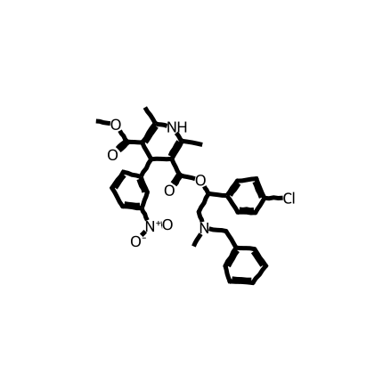 COC(=O)C1=C(C)NC(C)=C(C(=O)OC(CN(C)Cc2ccccc2)c2ccc(Cl)cc2)C1c1cccc([N+](=O)[O-])c1